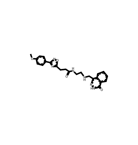 COc1ccc(-c2noc(CCC(=O)NCCNCc3n[nH]c(=O)c4ccccc34)n2)cc1